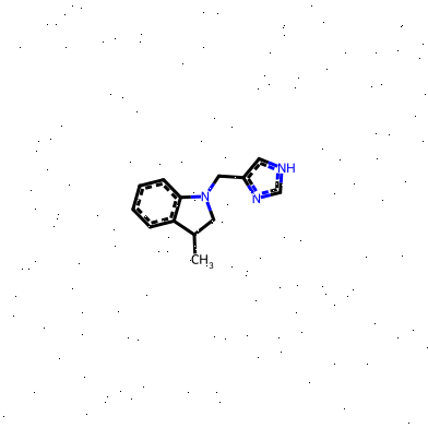 CC1CN(Cc2c[nH]cn2)c2ccccc21